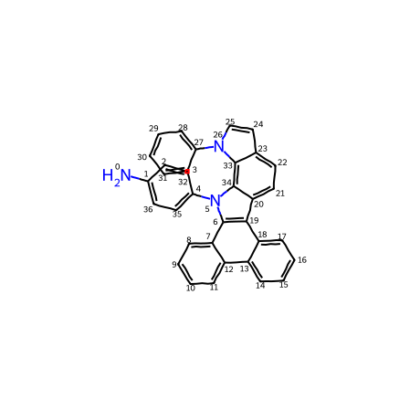 Nc1ccc(-n2c3c4ccccc4c4ccccc4c3c3ccc4ccn(-c5ccccc5)c4c32)cc1